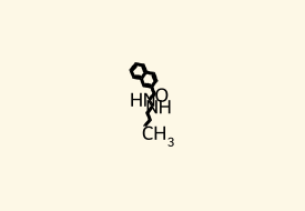 CCCCNNC(=O)c1ccc2ccccc2c1